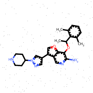 Cc1cccc(C)c1C(C)Oc1c(N)ncc2c(-c3cnn(C4CCNCC4)c3)coc12